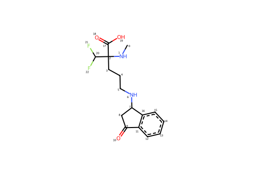 CNC(CCCNC1CC(=O)c2ccccc21)(C(=O)O)C(F)F